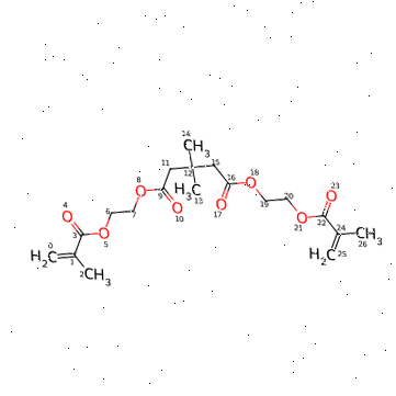 C=C(C)C(=O)OCCOC(=O)CC(C)(C)CC(=O)OCCOC(=O)C(=C)C